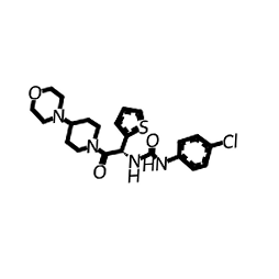 O=C(Nc1ccc(Cl)cc1)N[C@H](C(=O)N1CCC(N2CCOCC2)CC1)c1cccs1